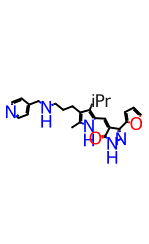 Cc1[nH]c(C=C2C(=O)NN=C2c2ccco2)c(C(C)C)c1CCCNCc1ccncc1